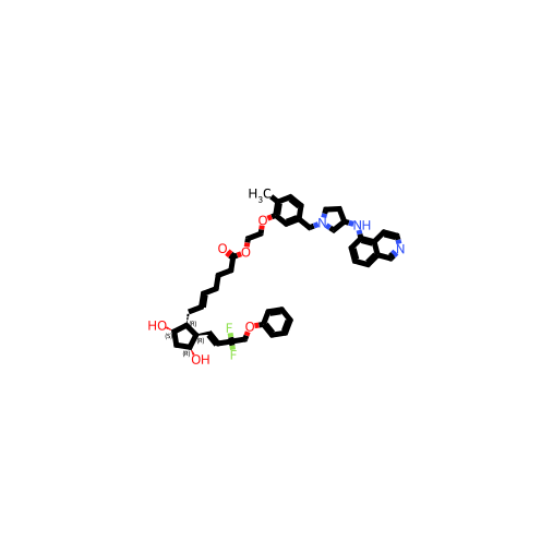 Cc1ccc(CN2CCC(Nc3cccc4cnccc34)C2)cc1OCCOC(=O)CCCC=CC[C@@H]1[C@@H](C=CC(F)(F)COc2ccccc2)[C@H](O)C[C@@H]1O